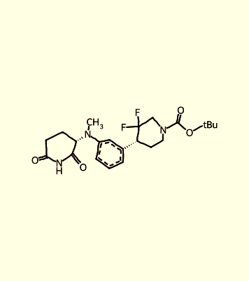 CN(c1cccc([C@H]2CCN(C(=O)OC(C)(C)C)CC2(F)F)c1)[C@H]1CCC(=O)NC1=O